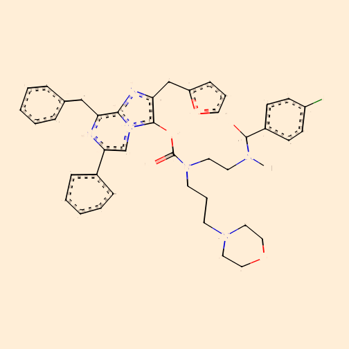 CN(CCN(CCCN1CCOCC1)C(=O)Oc1c(Cc2ccco2)nc2c(Cc3ccccc3)nc(-c3ccccc3)cn12)C(O)c1ccc(F)cc1